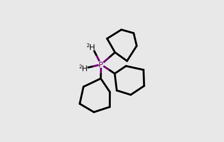 [2H]P([2H])(C1CCCCC1)(C1CCCCC1)C1CCCCC1